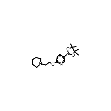 CC1(C)OB(c2ccc(OCCN3CCCCC3)nc2)OC1(C)C